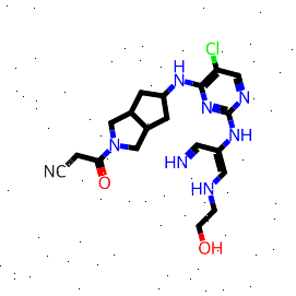 N#CCC(=O)N1CC2CC(Nc3nc(N/C(C=N)=C/NCCO)ncc3Cl)CC2C1